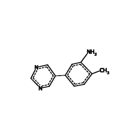 Cc1ccc(-c2cncnc2)cc1N